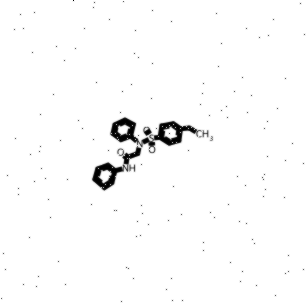 CCc1ccc(S(=O)(=O)N(CC(=O)Nc2ccccc2)c2ccccc2)cc1